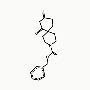 O=C1CCC2(CCN(C(=O)OCc3ccccc3)CC2)C(=O)C1